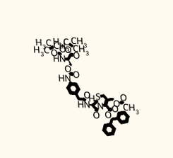 CC(=O)OCC1=C(C(=O)OC(c2ccccc2)c2ccccc2)N2C(=O)[C@@H](NC(=O)Cc3ccc(NC(=O)OC[C@@H](NC(=O)OC(C)(C)C)C(=O)OC(C)(C)C)cc3)[C@H]2SC1